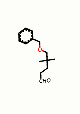 CC(C)(CCC=O)COCc1ccccc1